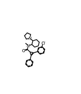 CN(C(=O)C1C(c2ccccc2)=C1c1cccc(Cl)c1)C1CCCCC1N1CCCC1